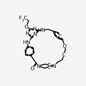 O=C1c2ccc(cc2)Nc2nc(nc(OCC(F)(F)F)n2)NCc2ccc(cc2)OCCCCN2CCN1CC2